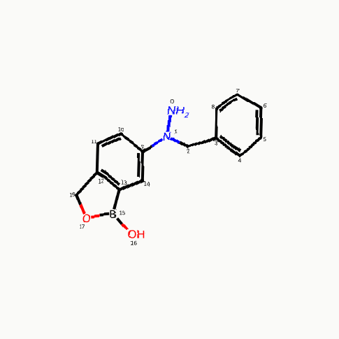 NN(Cc1ccccc1)c1ccc2c(c1)B(O)OC2